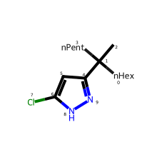 CCCCCCC(C)(CCCCC)c1cc(Cl)[nH]n1